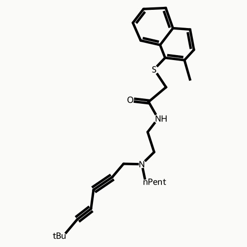 CCCCCN(CC#CC#CC(C)(C)C)CCNC(=O)CSc1c(C)ccc2ccccc12